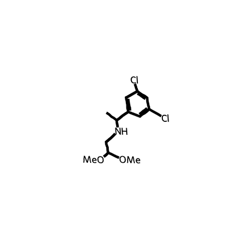 COC(CNC(C)c1cc(Cl)cc(Cl)c1)OC